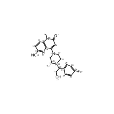 C[C@@H]1CN(c2cc(=O)n(C)c3ccc(C#N)nc23)CCN1C(CO)c1ccc(F)cc1